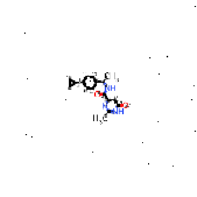 Cc1nc(C(=O)N[C@H](C)c2ccc(C3CC3)cc2)cc(=O)[nH]1